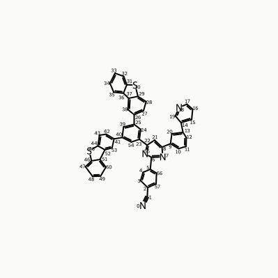 N#Cc1ccc(-c2nc(-c3cccc(-c4cccnc4)c3)cc(-c3cc(-c4ccc5sc6ccccc6c5c4)cc(-c4ccc5sc6ccccc6c5c4)c3)n2)cc1